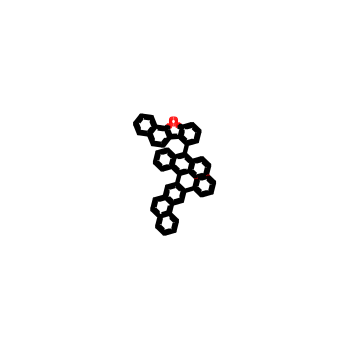 c1ccc(-c2cc3c(ccc4ccccc43)cc2-c2c3ccccc3c(-c3cccc4oc5c6ccccc6ccc5c34)c3ccccc23)cc1